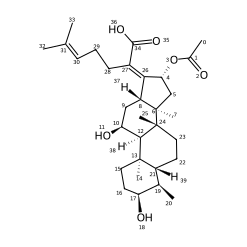 CC(=O)O[C@@H]1C[C@]2(C)[C@H](C[C@H](O)[C@@H]3[C@]4(C)CC[C@H](O)[C@H](C)[C@H]4CC[C@]32C)/C1=C(\CCC=C(C)C)C(=O)O